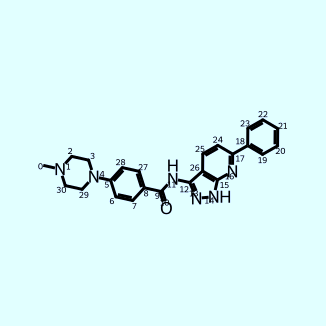 CN1CCN(c2ccc(C(=O)Nc3n[nH]c4nc(-c5ccccc5)ccc34)cc2)CC1